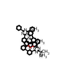 C=[PH](C)c1nc(-c2ccccc2)nc(-c2cccc(-c3ccccc3-c3ccccc3-c3cccc(-c4nc(-c5ccccc5)nc(-c5ccccc5)n4)c3-n3c4ccccc4c4cc(C)ccc43)c2-n2c3ccccc3c3cc(C)ccc32)n1